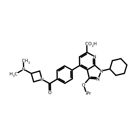 CC(C)Oc1nn(C2CCCCC2)c2nc(C(=O)O)cc(-c3ccc(C(=O)N4CC(N(C)C)C4)cc3)c12